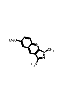 COc1ccc2nc3c(cc2c1)c(N)nn3C